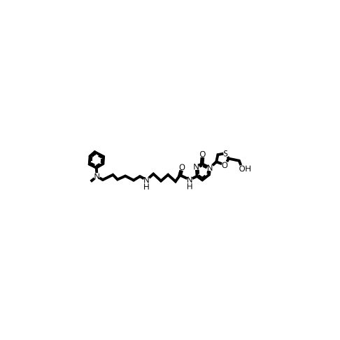 CN(CCCCCCNCCCCC(=O)Nc1ccn(C2CSC(CO)O2)c(=O)n1)c1ccccc1